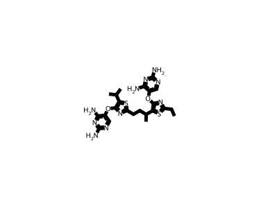 CCc1nc(Oc2cnc(N)nc2N)c(C(C)CCc2nc(Oc3cnc(N)nc3N)c(C(C)C)s2)s1